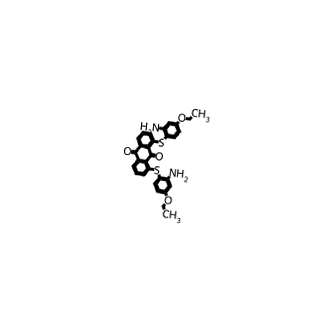 CCOc1ccc(Sc2cccc3c2C(=O)c2c(Sc4ccc(OCC)cc4N)cccc2C3=O)c(N)c1